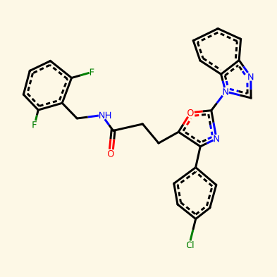 O=C(CCc1oc(-n2cnc3ccccc32)nc1-c1ccc(Cl)cc1)NCc1c(F)cccc1F